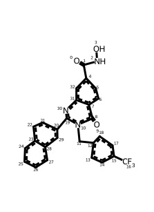 O=C(NO)c1ccc2c(=O)n(Cc3ccc(C(F)(F)F)cc3)c(-c3ccc4ccccc4c3)nc2c1